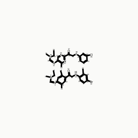 CCN(C)/C=N\c1cc(C)c(C(=O)CNc2ccc(Br)cc2C)cc1C.CCN(C)/C=N\c1cnc(C(=O)CSc2cccc(Cl)c2)nc1C